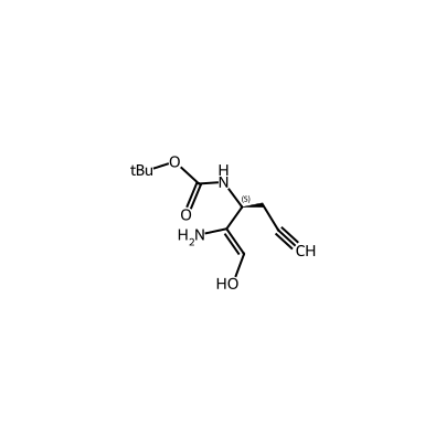 C#CC[C@H](NC(=O)OC(C)(C)C)C(N)=CO